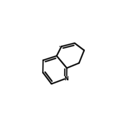 [C]1=CCCc2ncccc21